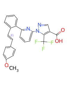 COc1ccc(/C=C/c2ccccc2-c2cccc(-n3ncc(C(=O)O)c3C(F)(F)F)n2)cc1